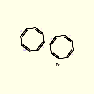 C1=C\C=C/C=C\C=C/1.C1=C\C=C/C=C\C=C/1.[Pd]